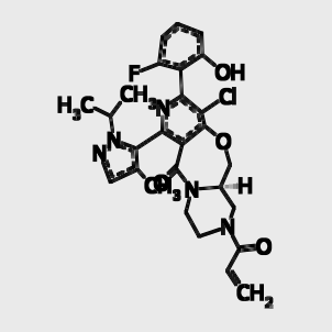 C=CC(=O)N1CCN2C(=O)c3c(-c4c(C)cnn4C(C)C)nc(-c4c(O)cccc4F)c(Cl)c3OC[C@H]2C1